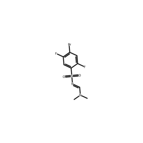 CN(C)C=NS(=O)(=O)c1cc(F)c(Br)cc1F